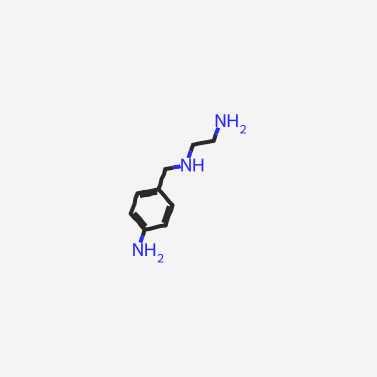 NCCNCc1ccc(N)cc1